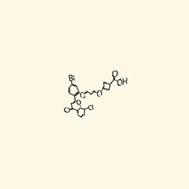 O=C(O)C1CC(OCCCOc2cc(Br)ccc2-c2cc(=O)c3cccc(Cl)c3o2)C1